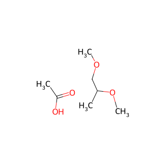 CC(=O)O.COCC(C)OC